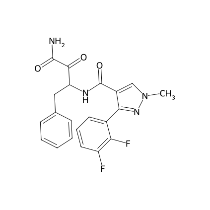 Cn1cc(C(=O)NC(Cc2ccccc2)C(=O)C(N)=O)c(-c2cccc(F)c2F)n1